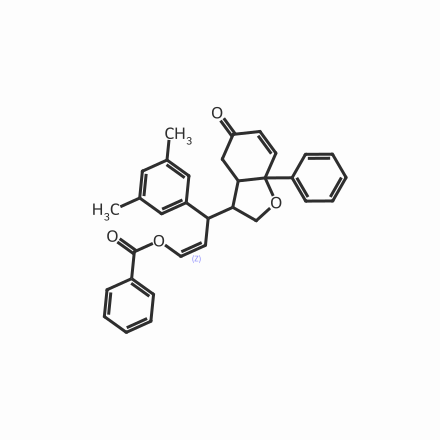 Cc1cc(C)cc(C(/C=C\OC(=O)c2ccccc2)C2COC3(c4ccccc4)C=CC(=O)CC23)c1